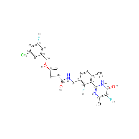 CCc1nc(-c2c(C(F)(F)F)ccc(CNC(=O)[C@H]3C[C@H](OCc4cc(F)cc(Cl)c4)C3)c2F)[nH]c(=O)c1F